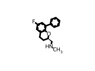 CNC[C@H]1CCc2cc(F)cc(-c3ccccc3)c2O1